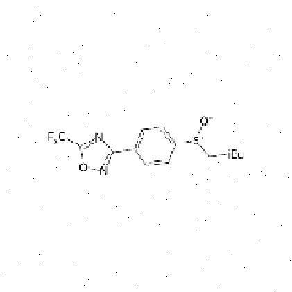 CCC(C)C[S+]([O-])c1ccc(-c2noc(C(F)(F)F)n2)cc1